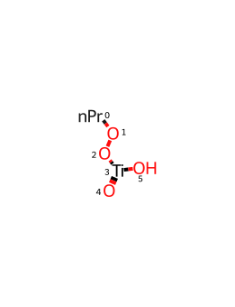 CCCO[O][Ti](=[O])[OH]